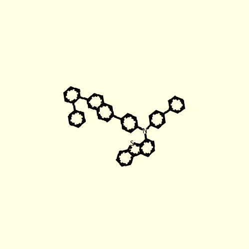 c1ccc(-c2ccc(N(c3ccc(-c4ccc5cc(-c6ccccc6-c6ccccc6)ccc5c4)cc3)c3cccc4c3sc3ccccc34)cc2)cc1